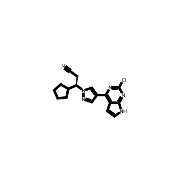 N#CC[C@H](C1CCCC1)n1cc(-c2nc(Cl)nc3[nH]ccc23)cn1